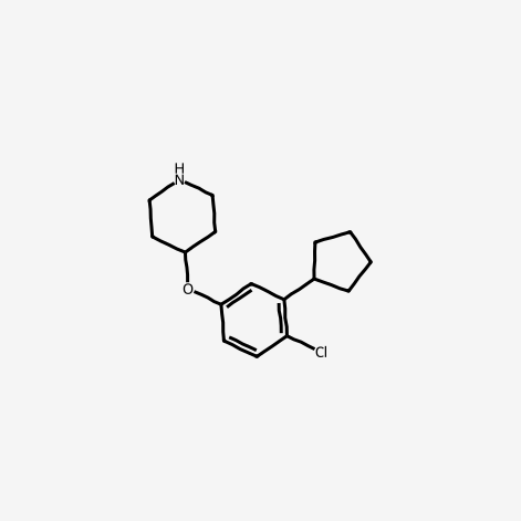 Clc1ccc(OC2CCNCC2)cc1C1CCCC1